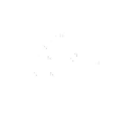 CCN(CC)CCN(Cc1ccc(-c2ccc(Cl)cc2)cc1)C(=O)Cn1cc(Cc2cnn(C)c2)c(=O)nc1SCc1ccccc1.Cl